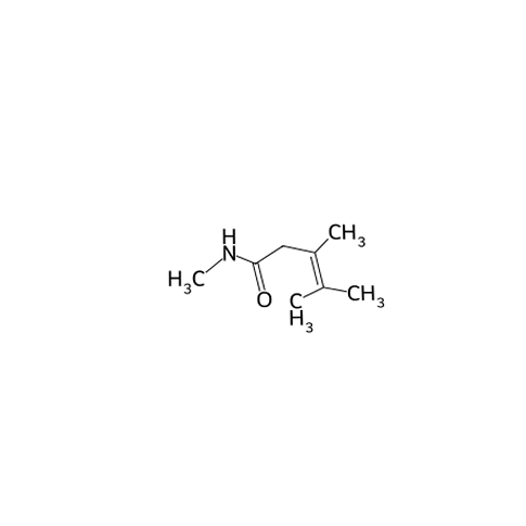 CNC(=O)CC(C)=C(C)C